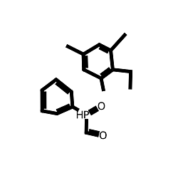 CCc1c(C)cc(C)cc1C.O=C[PH](=O)c1ccccc1